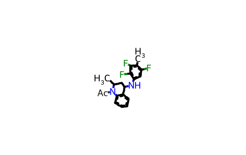 CC(=O)N1c2ccccc2C(Nc2cc(F)c(C)c(F)c2F)CC1C